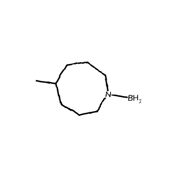 BN1CCCC(C)CCC1